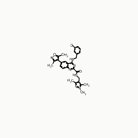 Cc1nn(C)c(C)c1CNC(=O)c1nc(NCc2cccc(Cl)c2)c2cc(-c3c(C)noc3C)ccc2n1